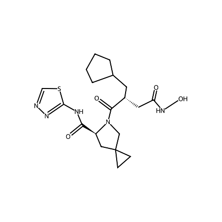 O=C(C[C@@H](CC1CCCC1)C(=O)N1CC2(CC2)C[C@H]1C(=O)Nc1nncs1)NO